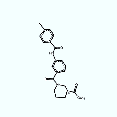 COC(=O)[C@H]1CCCN(C(=O)c2c[c]cc(NC(=O)c3ccc(C)cc3)c2)C1